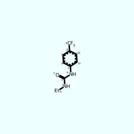 CCNC(=O)Nc1ccc(C(F)(F)F)cc1